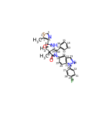 Cc1scnc1C(=O)N[C@@H]1[C@@H](c2ccccc2)N(c2ccc3c(cnn3-c3ccc(F)cc3)c2)C(=O)C1(C)C